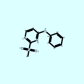 CS(=O)(=O)c1nccc(Oc2ccccc2)n1